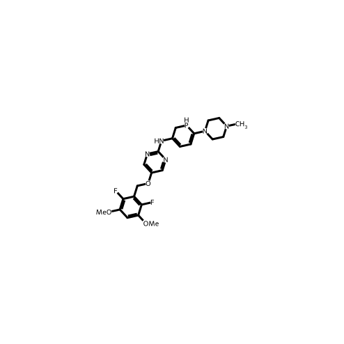 COc1cc(OC)c(F)c(COc2cnc(NC3=CC=C(N4CCN(C)CC4)PC3)nc2)c1F